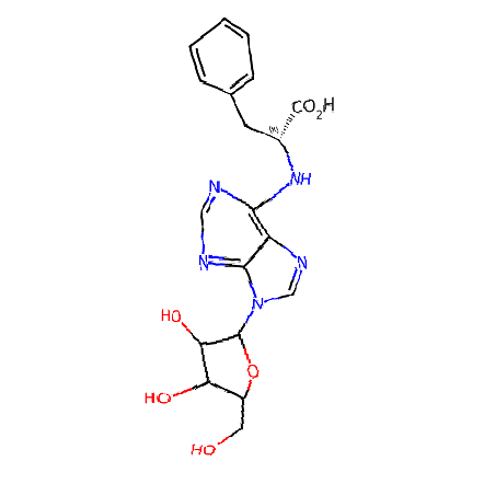 O=C(O)[C@@H](Cc1ccccc1)Nc1ncnc2c1ncn2C1OC(CO)C(O)C1O